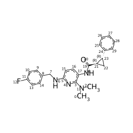 CN(C)c1nc(NCc2ccc(F)cc2)ccc1NC(=O)[C@@H]1C[C@H]1c1ccccc1